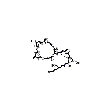 C=C1C[C@@H]2C[C@@H]3C[C@@H](O)C[C@@H](O3)c3coc(n3)/C=C/C[C@H]3OC(/C(C)=C/c4coc(C[C@]5(O)C[C@H](CO)C[C@H]([C@H](O)/C=C(C)/C=C/[C@H](CO)C/C=C/Br)O5)n4)[C@H](C)[C@@H](OC(=O)/C=C\C[C@@H](C1)O2)[C@H]3C